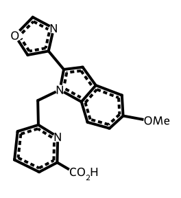 COc1ccc2c(c1)cc(-c1cocn1)n2Cc1cccc(C(=O)O)n1